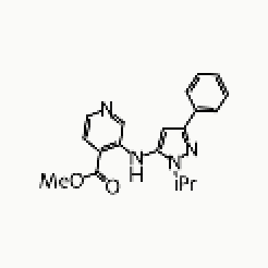 COC(=O)c1ccncc1Nc1cc(-c2ccccc2)nn1C(C)C